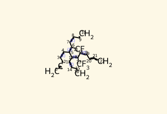 C=C=C\C=C/C(=C(\C=C/C=C)C(F)(F)F)C(/C=C\C=C)=C(\C=C/C=C=C)C(F)(F)F